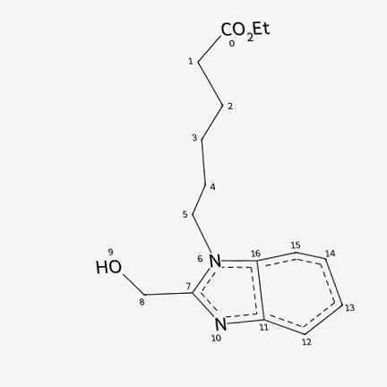 CCOC(=O)CCCCCn1c(CO)nc2ccccc21